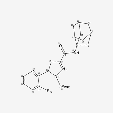 CCCCCN1N=C(C(=O)NC23CC4CC(CC2C4)C3)CC1c1ccccc1F